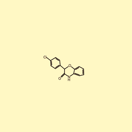 O=C1Nc2ccccc2OC1c1ccc(Cl)cc1